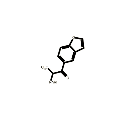 CNC(C(=O)c1ccc2occc2c1)C(Cl)(Cl)Cl